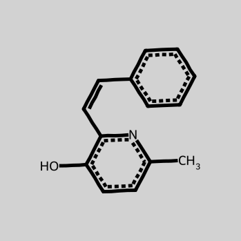 Cc1ccc(O)c(/C=C\c2ccccc2)n1